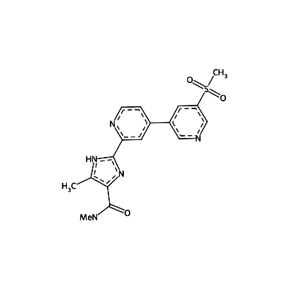 CNC(=O)c1nc(-c2cc(-c3cncc(S(C)(=O)=O)c3)ccn2)[nH]c1C